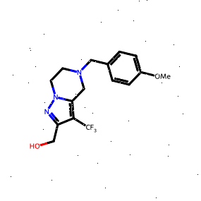 COc1ccc(CN2CCn3nc(CO)c(C(F)(F)F)c3C2)cc1